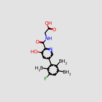 Bc1cc(F)c(B)c(-c2cnc(C(=O)NCC(=O)O)c(O)c2)c1B